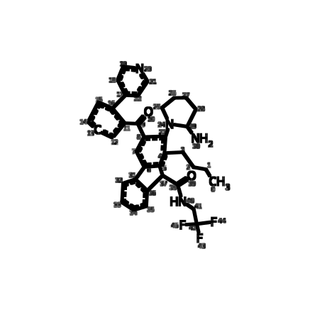 CCCCc1c2c(cc(C(=O)c3ccccc3-c3ccncc3)c1N1CCCCC1N)-c1ccccc1C2C(=O)NCC(F)(F)F